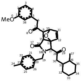 COc1cccc(CC(=O)C2C3C=CC4(O3)C2C(=O)N(Cc2ccc(C)cc2)C4C(=O)CC2CCCCC2C)c1